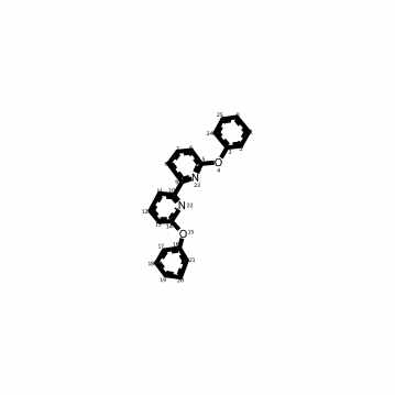 c1ccc(Oc2cccc(-c3cccc(Oc4ccccc4)n3)n2)cc1